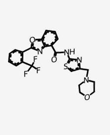 O=C(Nc1nc(CN2CCOCC2)cs1)c1cccc2oc(-c3ccccc3C(F)(F)F)nc12